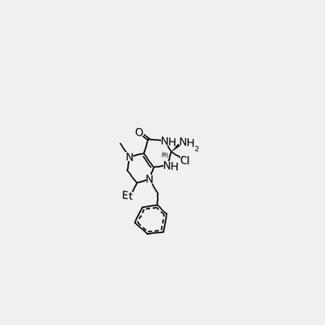 CCC1CN(C)C2=C(N[C@@](N)(Cl)NC2=O)N1Cc1ccccc1